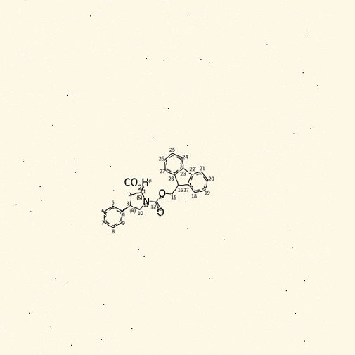 O=C(O)[C@@H]1C[C@H](c2ccccc2)CN1C(=O)OCC1c2ccccc2-c2ccccc21